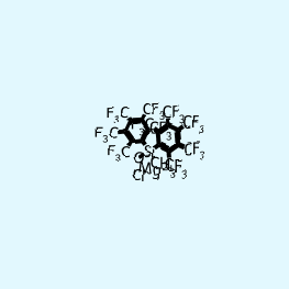 C[Si]([O-])(c1c(C(F)(F)F)c(C(F)(F)F)c(C(F)(F)F)c(C(F)(F)F)c1C(F)(F)F)c1c(C(F)(F)F)c(C(F)(F)F)c(C(F)(F)F)c(C(F)(F)F)c1C(F)(F)F.[Cl-].[Mg+2]